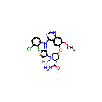 COc1cc2ncnc(Nc3cccc(Cl)c3F)c2cc1O[C@H]1C[C@H](C(N)=O)[N+](C)(c2ccsc2)C1